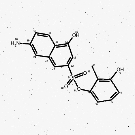 Cc1c(O)cccc1OS(=O)(=O)c1cc(O)c2ccc(N)cc2c1